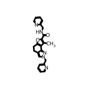 Cc1c(C(=O)NCc2ccccn2)oc2c1-c1nn(Cc3ccccn3)cc1CC2